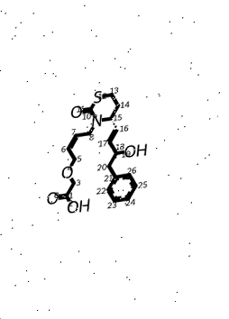 O=C(O)COC/C=C\CN1C(=O)SCC[C@@H]1/C=C/C(O)Cc1ccccc1